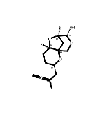 C=C=C(C)C[C@H]1CC[C@@H]2O[C@@H]3C[C@]2(CO[C@H]3O)O1